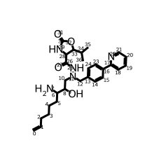 C=CCCCCC(N)C(O)CN(Cc1ccc(-c2ccccn2)cc1)NC(=O)C1NC(=O)OC1C(C)C